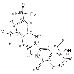 C=C1OCc2c(cc3n(c2=O)Cc2cc4c(C(C)C)c(C)c(C(F)(F)F)cc4nc2-3)[C@@]1(O)CC